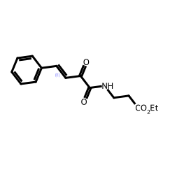 CCOC(=O)CCNC(=O)C(=O)/C=C/c1ccccc1